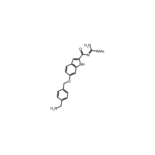 CNC(N)=NC(=O)c1cc2ccc(OCc3ccc(CN)cc3)cc2[nH]1